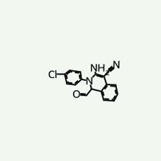 N#CC1=C(N)N(c2ccc(Cl)cc2)C(C=O)c2ccccc21